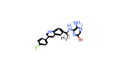 CC(Nc1nc(Br)cnc1N)c1ccc2ncc(-c3ccc(F)cc3)cc2c1